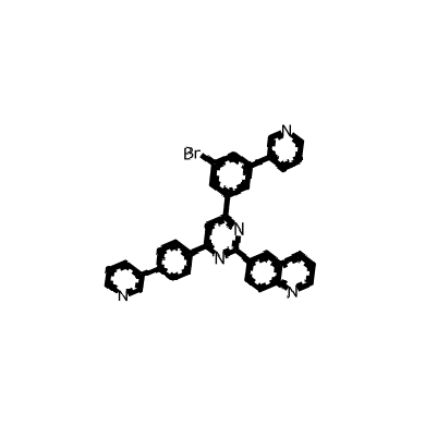 Brc1cc(-c2cccnc2)cc(-c2cc(-c3ccc(-c4cccnc4)cc3)nc(-c3ccc4ncccc4c3)n2)c1